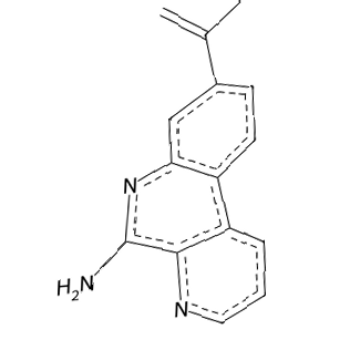 C=C(C)c1ccc2c(c1)nc(N)c1ncccc12